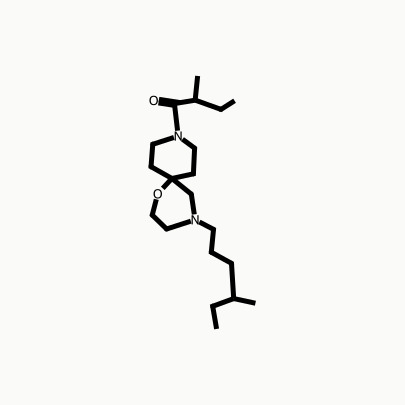 CCC(C)CCCN1CCOC2(CCN(C(=O)C(C)CC)CC2)C1